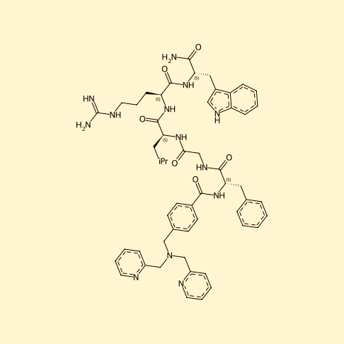 CC(C)C[C@H](NC(=O)CNC(=O)[C@H](Cc1ccccc1)NC(=O)c1ccc(CN(Cc2ccccn2)Cc2ccccn2)cc1)C(=O)N[C@@H](CCCNC(=N)N)C(=O)N[C@@H](Cc1c[nH]c2ccccc12)C(N)=O